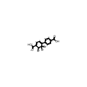 O=C(O)C1=CC=C(c2ccc(C(=O)O)cc2)C(Br)(Br)C1Br